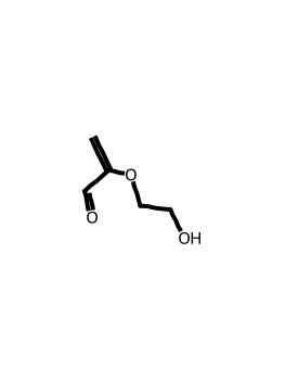 C=C(C=O)OCCO